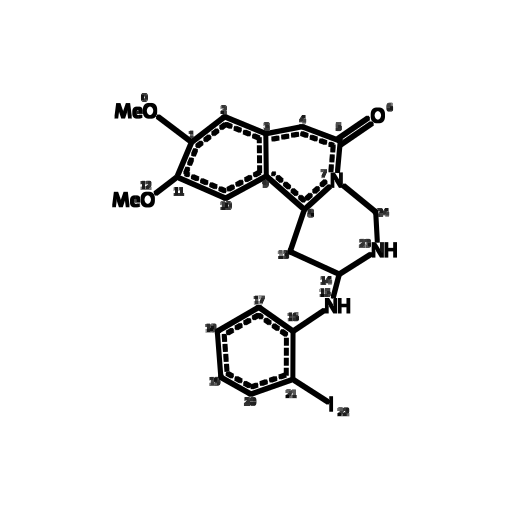 COc1cc2cc(=O)n3c(c2cc1OC)CC(Nc1ccccc1I)NC3